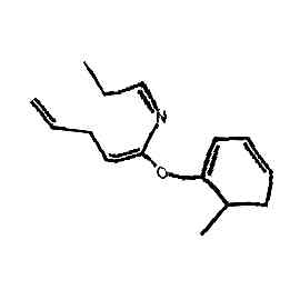 C=CC/C=C(\N=C/CC)OC1=CC=CCC1C